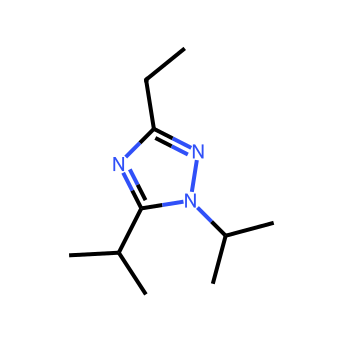 CCc1nc(C(C)C)n(C(C)C)n1